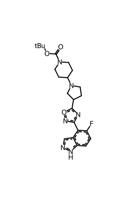 CC(C)(C)OC(=O)N1CCC(N2CCC(c3nc(-c4c(F)ccc5[nH]ncc45)no3)C2)CC1